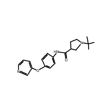 CC(C)(C)N1CCC(C(=O)Nc2ccc(Oc3cccnc3)cc2)C1